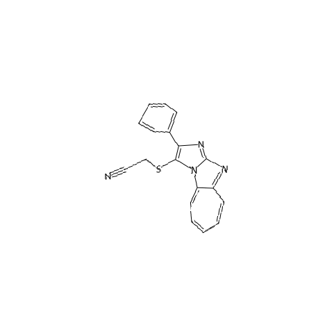 N#CCSc1c(-c2ccccc2)nc2nc3cccccc3n12